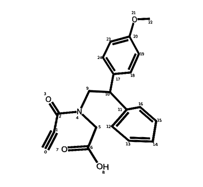 C#CC(=O)N(CC(=O)O)CC(c1ccccc1)c1ccc(OC)cc1